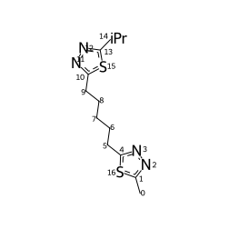 Cc1nnc(CCCCCc2nnc(C(C)C)s2)s1